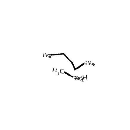 CC(=O)O.COC[CH2][Hg].Cl